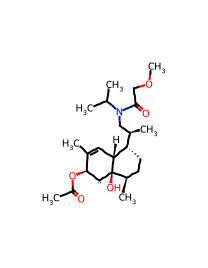 COCC(=O)N(C[C@@H](C)[C@@H]1CC[C@@H](C)[C@]2(O)[C][C@@H](OC(C)=O)C(C)=C[C@H]12)C(C)C